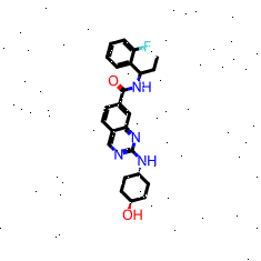 CCC(NC(=O)c1ccc2cnc(N[C@H]3CC[C@H](O)CC3)nc2c1)c1ccccc1F